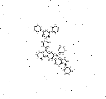 c1ccc(-c2nc(-c3ccccc3)nc(-c3ccc(-n4c5ccccc5c5cc6c7ccc8c(ccn8-c8ccccc8)c7n(-c7ccccc7)c6cc54)cc3)n2)cc1